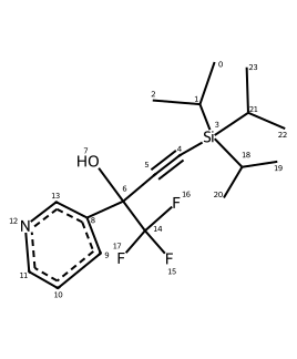 CC(C)[Si](C#CC(O)(c1cccnc1)C(F)(F)F)(C(C)C)C(C)C